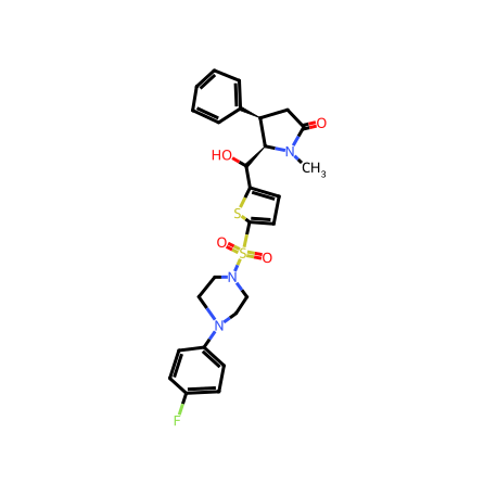 CN1C(=O)C[C@H](c2ccccc2)[C@@H]1C(O)c1ccc(S(=O)(=O)N2CCN(c3ccc(F)cc3)CC2)s1